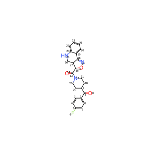 O=C(c1ccc(F)cc1)C1CCN(C(=O)C2ON=C3c4ccccc4NCC32)CC1